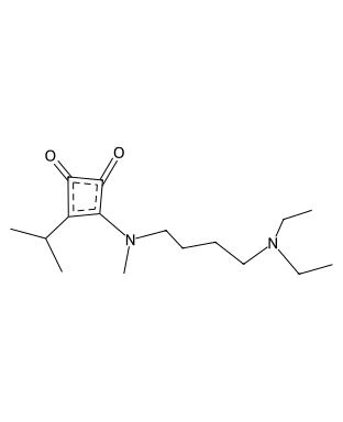 CCN(CC)CCCCN(C)c1c(C(C)C)c(=O)c1=O